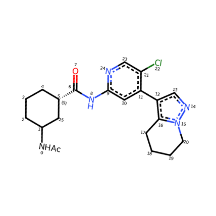 CC(=O)NC1CCC[C@H](C(=O)Nc2cc(-c3cnn4c3CCCC4)c(Cl)cn2)C1